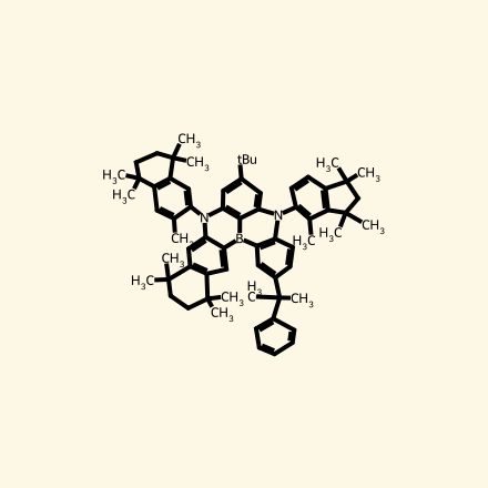 Cc1cc2c(cc1N1c3cc4c(cc3B3c5cc(C(C)(C)c6ccccc6)ccc5N(c5ccc6c(c5C)C(C)(C)CC6(C)C)c5cc(C(C)(C)C)cc1c53)C(C)(C)CCC4(C)C)C(C)(C)CCC2(C)C